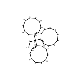 O=C(O)CC(C1=CCCCCCCCC1)(C1=CCCCCCCCC1)C1=CCCCCCCCC1